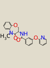 CN1C(=O)C(NC(=O)c2cccc(Oc3ccccn3)c2)COc2ccccc21